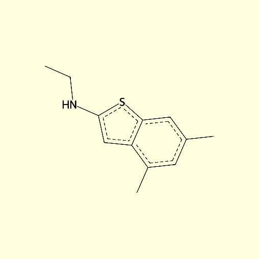 CCNc1cc2c(C)cc(C)cc2s1